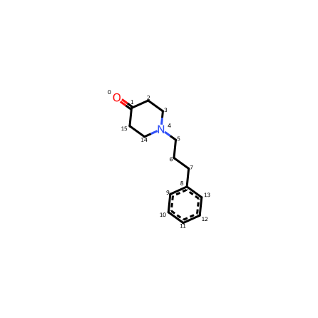 O=C1CCN(CCCc2ccccc2)CC1